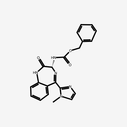 Cn1ccnc1C1=N[C@@H](NC(=O)OCc2ccccc2)C(=O)Nc2ccccc21